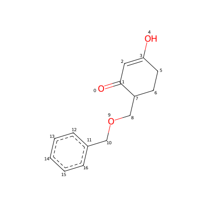 O=C1C=C(O)CCC1COCc1ccccc1